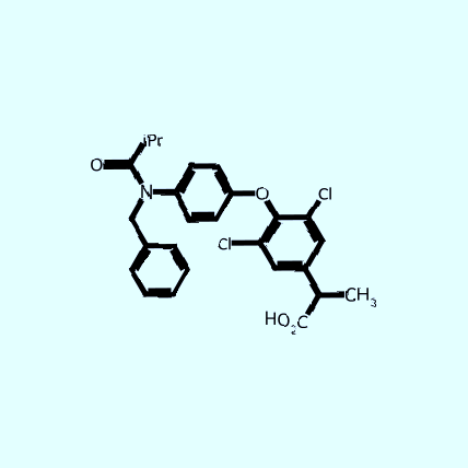 CC(C)C(=O)N(Cc1ccccc1)c1ccc(Oc2c(Cl)cc(C(C)C(=O)O)cc2Cl)cc1